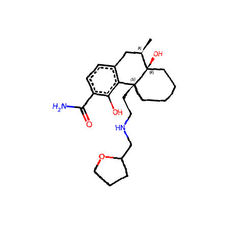 C[C@@H]1Cc2ccc(C(N)=O)c(O)c2[C@@]2(CCNCC3CCCO3)CCCC[C@@]12O